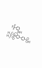 CC(=O)N1c2ccc(-c3ccc(C(=O)O)cc3)cc2C(Nc2cccc(C(F)(F)F)c2)CC1C